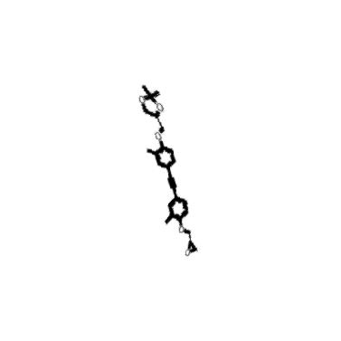 Cc1cc(C#Cc2ccc(OC[C@H]3COC(C)(C)O3)c(C)c2)ccc1OC[C@H]1CO1